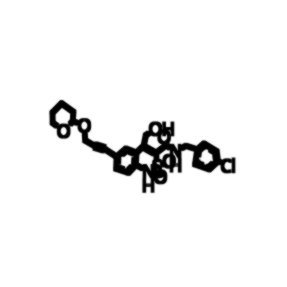 O=C(NCc1ccc(Cl)cc1)C1=C(CO)c2cc(C#CCOC3CCCCO3)ccc2NS1(=O)=O